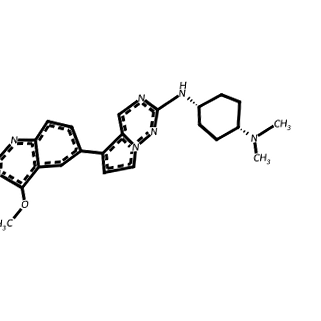 COc1ncnc2ccc(-c3ccn4nc(N[C@H]5CC[C@@H](N(C)C)CC5)ncc34)cc12